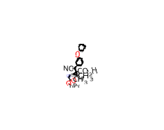 CCCOC(=O)/C=C\[C@H]1C(C)(C)[C@]1(C(=O)O)[C@@H](C#N)c1cccc(Oc2ccccc2)c1